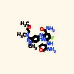 COCCN(C)c1nn(C)c2ccc(Nc3nc(N[C@@H]4CCOC[C@@H]4N)c(F)cc3C(N)=O)cc12